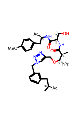 CCC[C@H](OCc1cn(Cc2cccc(C[C@H](C)C(C)=O)c2)nn1)[C@H](C)C(=O)N[C@H](C(=O)N[C@@H](Cc1ccc(OC)cc1)C(C)=O)[C@H](C)O